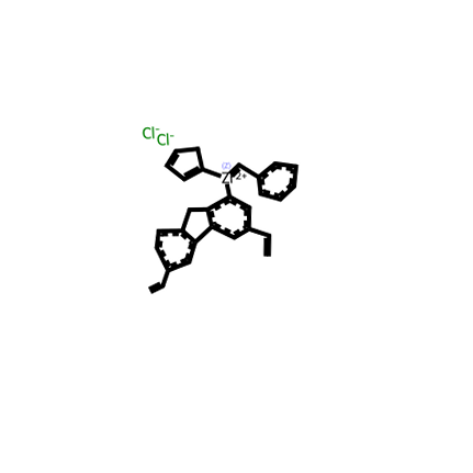 C=Cc1ccc2c(c1)-c1cc(C=C)c[c](/[Zr+2](=[CH]\c3ccccc3)[C]3=CC=CC3)c1C2.[Cl-].[Cl-]